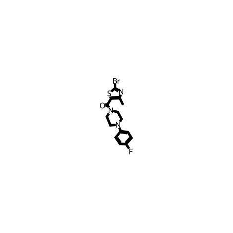 Cc1nc(Br)sc1C(=O)N1CCN(c2ccc(F)cc2)CC1